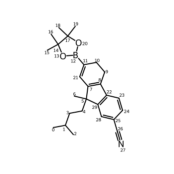 CC(C)CCC1(C)C2=C(CCC(B3OC(C)(C)C(C)(C)O3)=C2)c2ccc(C#N)cc21